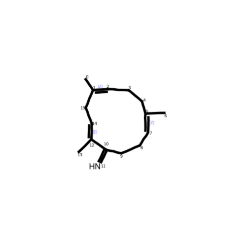 C/C1=C/CC/C(C)=C\CCC(=N)/C(C)=C/C1